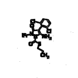 C=CCSC(=O)n1c(N)c(-c2c(Cl)cccc2Cl)c(=O)n1C(C)C